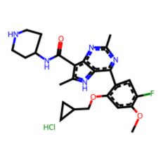 COc1cc(OCC2CC2)c(-c2nc(C)nc3c(C(=O)NC4CCNCC4)c(C)[nH]c23)cc1F.Cl